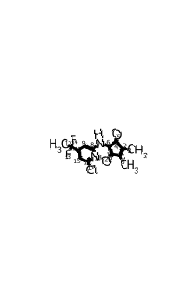 CC1=C(C)C(=O)C(Nc2cc(C(C)(F)F)cc(Cl)n2)C1=O